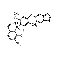 COc1cc(Oc2ccn3ncnc3c2)c(C)cc1C1(N)NC=Nc2ccc(N)c(Cl)c21